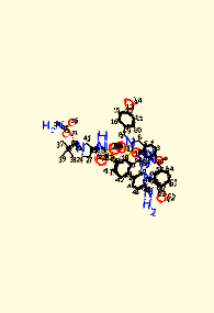 COc1ccc(CN(Cc2ccc(OC)cc2)S(=O)(=O)c2c(S(=O)(=O)N[C@@H]3CCN([C@@H](COC(N)=O)C(C)(C)C)C3)ccc(-c3ccc(N)nc3)c2-c2nnn(Cc3ccc(OC)cc3)n2)cc1